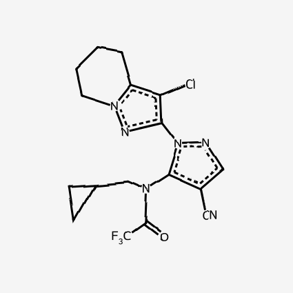 N#Cc1cnn(-c2nn3c(c2Cl)CCCC3)c1N(CC1CC1)C(=O)C(F)(F)F